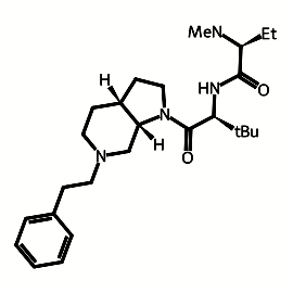 CC[C@H](NC)C(=O)N[C@H](C(=O)N1CC[C@H]2CCN(CCc3ccccc3)C[C@H]21)C(C)(C)C